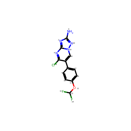 Nc1nc2nc(Cl)c(-c3ccc(OC(F)F)cc3)cn2n1